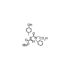 CCN(C(=O)OC(C)(C)C)[C@H](Cc1ccc(O)cc1)C(=O)N(CC(=O)O)Cc1ccccc1